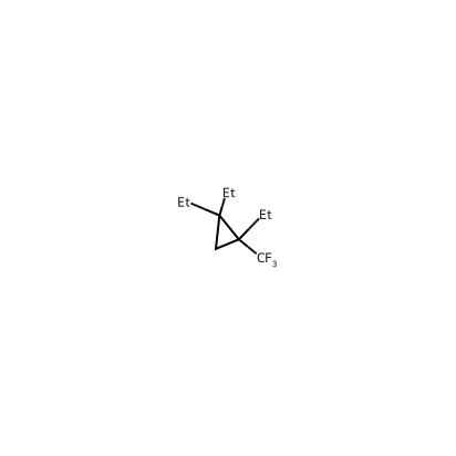 CCC1(CC)CC1(CC)C(F)(F)F